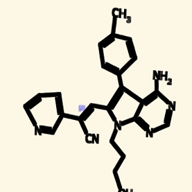 Cc1ccc(-c2c(/C=C(\C#N)c3cccnc3)n(CCCO)c3ncnc(N)c23)cc1